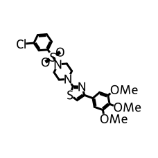 COc1cc(-c2csc(N3CCN(S(=O)(=O)c4cccc(Cl)c4)CC3)n2)cc(OC)c1OC